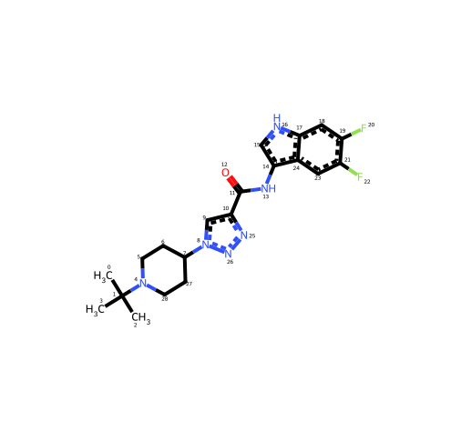 CC(C)(C)N1CCC(n2cc(C(=O)Nc3c[nH]c4cc(F)c(F)cc34)nn2)CC1